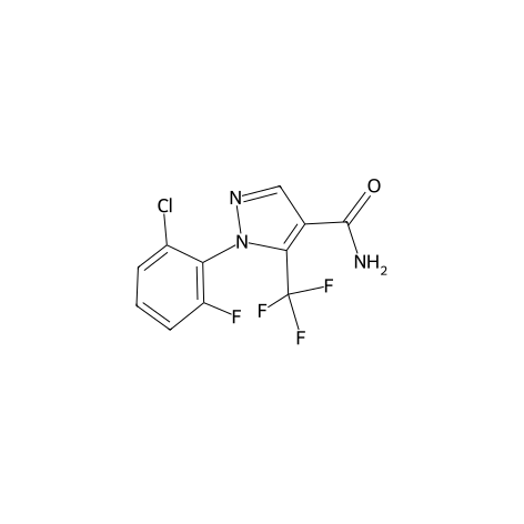 NC(=O)c1cnn(-c2c(F)cccc2Cl)c1C(F)(F)F